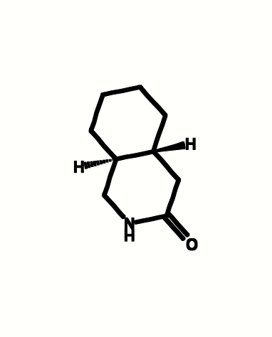 O=C1C[C@H]2CCCC[C@@H]2CN1